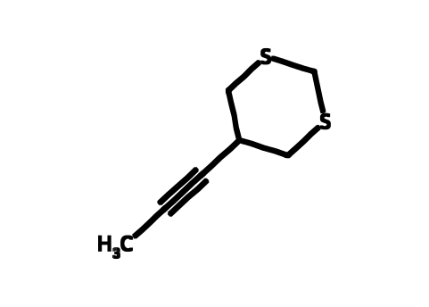 CC#CC1CSCSC1